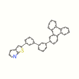 c1cc(-c2cccc(-c3cc4cccnc4s3)c2)cc(-c2ccc3c4ccccc4c4ccccc4c3c2)c1